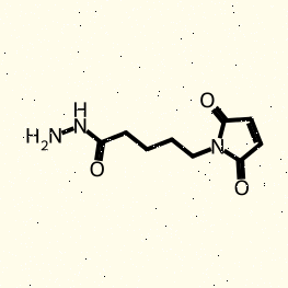 NNC(=O)CCCCN1C(=O)C=CC1=O